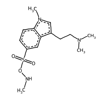 CNOS(=O)(=O)c1ccc2c(c1)c(CCN(C)C)cn2C